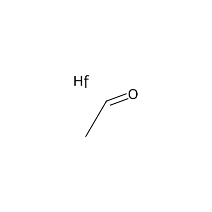 CC=O.[Hf]